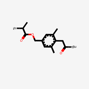 Cc1cc(COC(=O)C(C)C(C)C)cc(C)c1CC(=O)C(C)(C)C